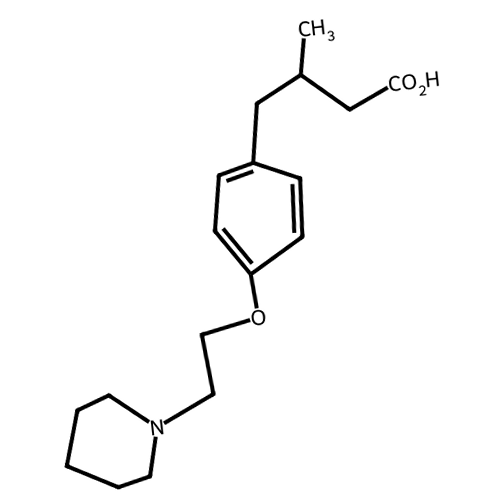 CC(CC(=O)O)Cc1ccc(OCCN2CCCCC2)cc1